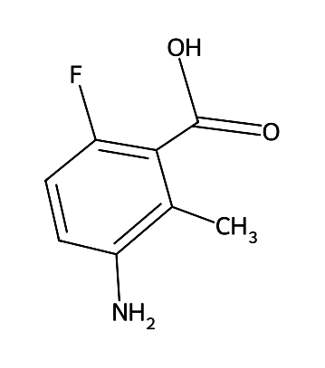 Cc1c(N)ccc(F)c1C(=O)O